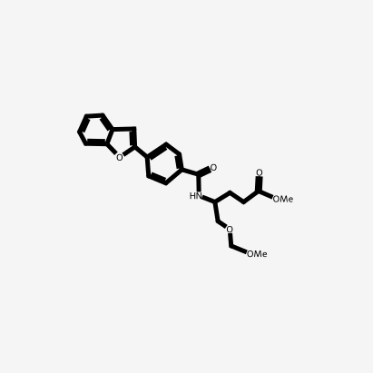 COCOCC(CCC(=O)OC)NC(=O)c1ccc(-c2cc3ccccc3o2)cc1